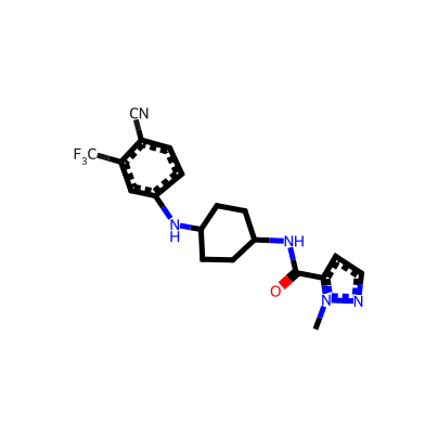 Cn1nccc1C(=O)NC1CCC(Nc2ccc(C#N)c(C(F)(F)F)c2)CC1